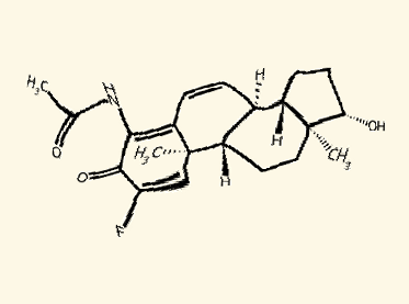 CC(=O)NC1=C2C=C[C@H]3[C@@H]4CC[C@H](O)[C@@]4(C)CC[C@@H]3[C@@]2(C)C=C(F)C1=O